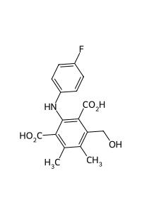 Cc1c(C)c(C(=O)O)c(Nc2ccc(F)cc2)c(C(=O)O)c1CO